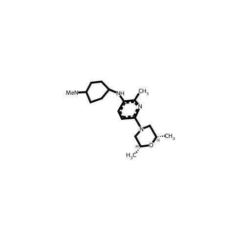 CNC1CCC(Nc2ccc(N3C[C@@H](C)O[C@@H](C)C3)nc2C)CC1